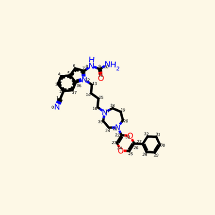 N#Cc1ccc2cc(NC(N)=O)n(CCCCN3CCCN(C4=COC=C(C5=CC=CCC5)O4)CC3)c2c1